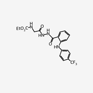 CCOC(=O)NCC(=O)NNC(=O)c1ccccc1Nc1ccc(C(F)(F)F)cc1